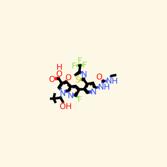 CCNC(=O)Nc1cc(-c2nc(C(F)(F)F)cs2)c(-c2cc3c(=O)c(C(=O)O)cn(C(CO)C(C)(C)C)c3nc2F)cn1